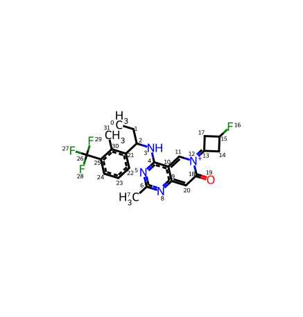 CCC(Nc1nc(C)nc2c1=C[N+](=C1CC(F)C1)C(=O)C=2)c1cccc(C(F)(F)F)c1C